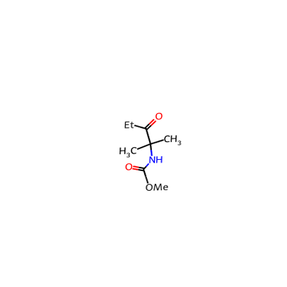 CCC(=O)C(C)(C)NC(=O)OC